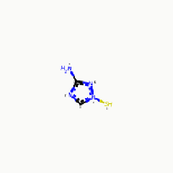 Nc1ncn(S)n1